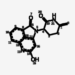 C=C1CCC(N2C(=O)c3cccc4nc(O)cc2c34)C(=O)N1